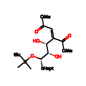 CCCCCCC[C@H](O[Si](C)(C)C(C)(C)C)[C@@H](O)[C@H](O)/C(=C\C(=O)OC)C(=O)OC